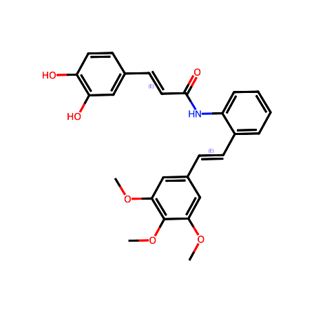 COc1cc(/C=C/c2ccccc2NC(=O)/C=C/c2ccc(O)c(O)c2)cc(OC)c1OC